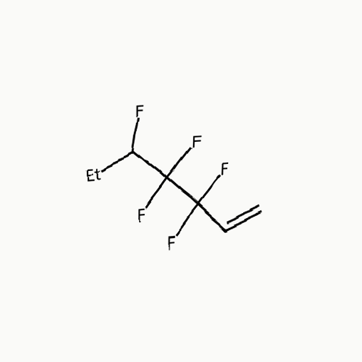 C=CC(F)(F)C(F)(F)C(F)CC